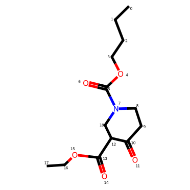 CCCCOC(=O)N1CCC(=O)C(C(=O)OCC)C1